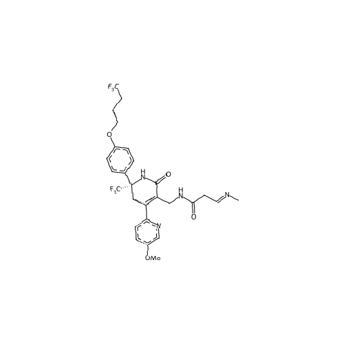 C/N=C/CC(=O)NCC1=C(c2ccc(OC)cn2)C[C@](c2ccc(OCCCC(F)(F)F)cc2)(C(F)(F)F)NC1=O